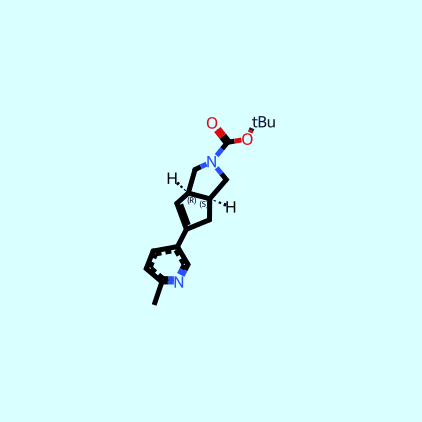 Cc1ccc(C2=C[C@H]3CN(C(=O)OC(C)(C)C)C[C@H]3C2)cn1